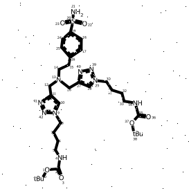 CC(C)(C)OC(=O)NCCCCn1cc(CN(CCc2ccc(S(N)(=O)=O)cc2)Cc2cn(CCCCNC(=O)OC(C)(C)C)nn2)nn1